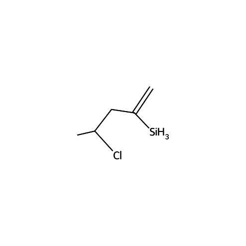 C=C([SiH3])CC(C)Cl